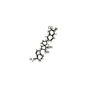 Nc1ncnc2c1ccn2C1CC2(CCC(c3ccc4cc(Br)c(Cl)nc4c3)C2)C(O)C1O